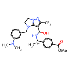 COC(=O)c1ccc([C@H](C)NC(O)c2c(C(F)(F)F)nn3c2N(Cc2cccc(N(C)C)c2)CC3)cc1